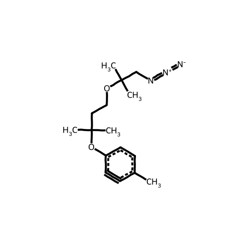 Cc1c#cc(OC(C)(C)CCOC(C)(C)CN=[N+]=[N-])cc1